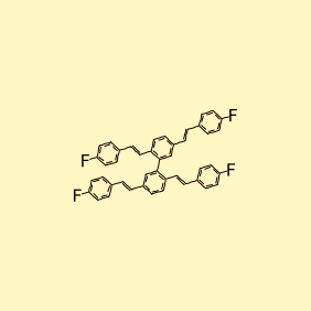 Fc1ccc(/C=C/c2ccc(/C=C/c3ccc(F)cc3)c(-c3cc(/C=C/c4ccc(F)cc4)ccc3/C=C/c3ccc(F)cc3)c2)cc1